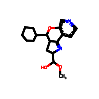 COC(O)C1CC2C(=N1)c1ccncc1OC2C1CCCCC1